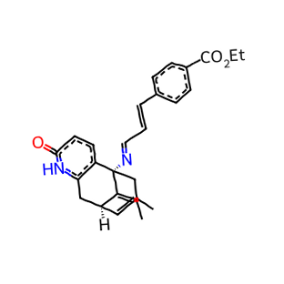 C/C=C1\[C@H]2C=C(C)C[C@]1(/N=C/C=C/c1ccc(C(=O)OCC)cc1)c1ccc(=O)[nH]c1C2